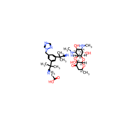 CC(=O)O.CC(C)(C#N)c1cc(Cn2cncn2)cc(C(C)(C)C#N)c1.CN[C@@H]1[C@H](O)[C@H](NC)[C@H]2O[C@@]3(O)C(=O)C[C@@H](C)O[C@H]3O[C@@H]2[C@H]1O